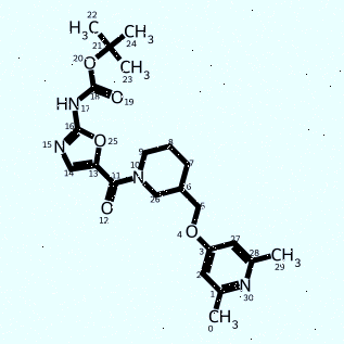 Cc1cc(OCC2CCCN(C(=O)c3cnc(NC(=O)OC(C)(C)C)o3)C2)cc(C)n1